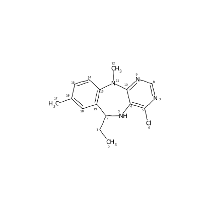 CCC1Nc2c(Cl)ncnc2N(C)c2ccc(C)cc21